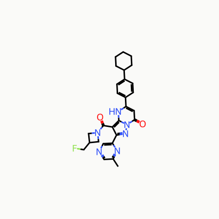 Cc1cncc(-c2nn3c(=O)cc(-c4ccc(C5CCCCC5)cc4)[nH]c3c2C(=O)N2CC(CF)C2)n1